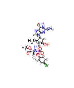 C=C1[C@H](CO[P@@](=O)(N[C@@H](C)C(=O)OC)Oc2ccc(Br)cc2)[C@@H](O)C[C@@H]1n1cnc2c(=O)[nH]c(N)nc21